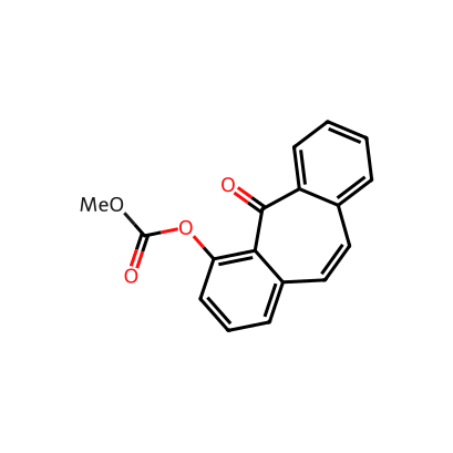 COC(=O)Oc1cccc2ccc3ccccc3c(=O)c12